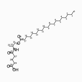 CCCCCCCCCCCCCCCCCCC(=O)OCC(C)NC(=O)CCCC(=O)O